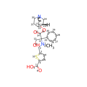 CN(Cc1ccc(C(=O)O)s1)C(CO)(C(=O)O[C@H]1CN2CCC1CC2)c1ccccc1